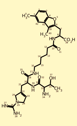 Cc1ccc2oc(CC(NC(=O)CCCCCNC(=O)C(CC3=CCN(C(=N)N)C3)NC(=O)C(N)C(C)O)C(=O)O)c(C)c2c1